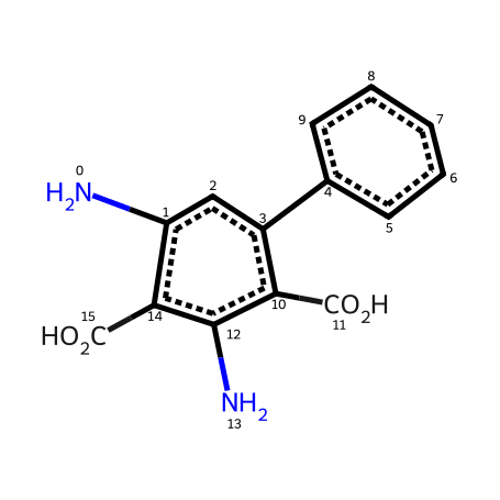 Nc1cc(-c2ccccc2)c(C(=O)O)c(N)c1C(=O)O